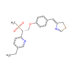 CCc1ccc([C@@H](COc2ccc(C=C3CSC=N3)cc2)S(C)(=O)=O)nc1